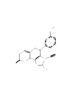 COc1cccc(C2CC3=CCC(=O)OC3C3=C2N(C#N)C(N)O3)c1